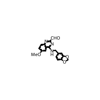 COc1ccc2nc(C=O)nc(NCc3ccc4c(c3)OCO4)c2c1